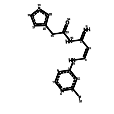 N=C(/C=C\Nc1ccnc(F)c1)NC(=O)Cc1ccsc1